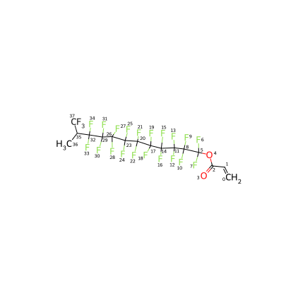 C=CC(=O)OC(F)(F)C(F)(F)C(F)(F)C(F)(F)C(F)(F)C(F)(F)C(F)(F)C(F)(F)C(F)(F)C(F)(F)C(C)C(F)(F)F